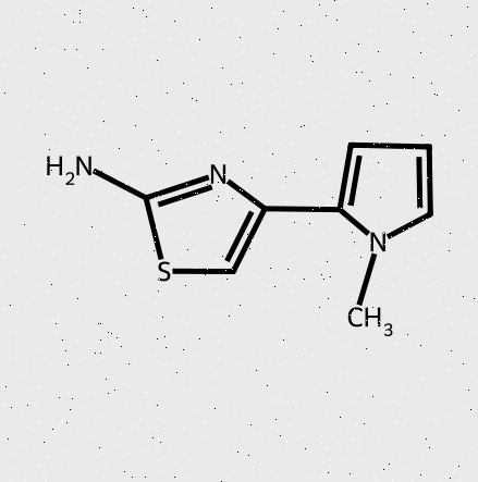 Cn1cccc1-c1csc(N)n1